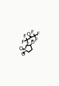 O=P(OC1CCS(=O)(=O)C1)(C(F)(F)F)C(F)(F)F